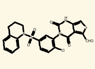 O=Cc1scc2[nH]c(=O)n(-c3cc(S(=O)(=O)N4CCCc5ccccc54)ccc3Cl)c(=O)c12